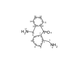 NCc1ccccc1C(=O)c1ccccc1CN